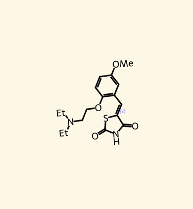 CCN(CC)CCOc1ccc(OC)cc1/C=C1\SC(=O)NC1=O